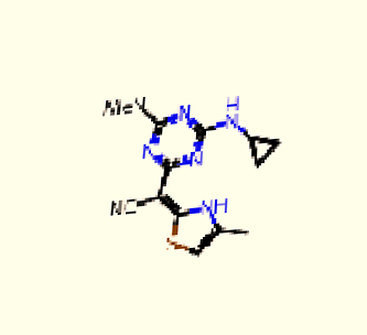 CNc1nc(NC2CC2)nc(C(C#N)=C2NC(C)=CS2)n1